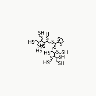 SCSC(C(S)CS)C(SCS)C(S)CSC(SCC(S)C(SCS)C(SCS)C(S)CS)C1SCCS1